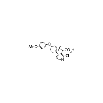 COc1ccc(OC2CCN(c3ncnc(Cl)c3C(C)C(=O)O)CC2)cc1